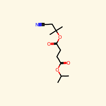 CC(C)OC(=O)CCC(=O)OC(C)(C)CC#N